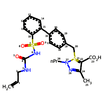 C=CCNC(=O)NS(=O)(=O)c1ccccc1-c1ccc(CS2=C(C(=O)O)C(C)=NN2CCC)cc1